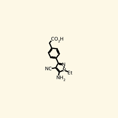 CCn1nc(-c2ccc(CC(=O)O)cc2)c(C#N)c1N